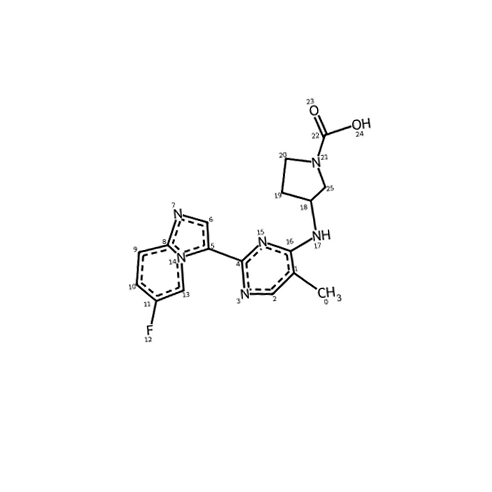 Cc1cnc(-c2cnc3ccc(F)cn23)nc1NC1CCN(C(=O)O)C1